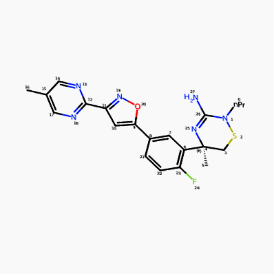 CCCN1SC[C@@](C)(c2cc(-c3cc(-c4ncc(C)cn4)no3)ccc2F)N=C1N